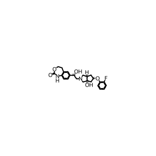 O=C1Nc2ccc([C@H](O)CN3C[C@H]4C[C@H](Oc5ccccc5F)C[C@@]4(O)C3)cc2CCO1